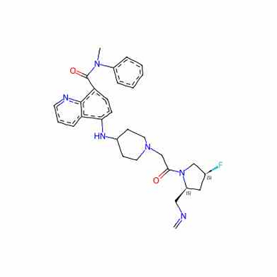 C=NC[C@@H]1C[C@H](F)CN1C(=O)CN1CCC(Nc2ccc(C(=O)N(C)c3ccccc3)c3ncccc23)CC1